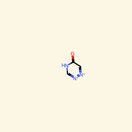 O=C1C=[N+]=[N+]=CN1